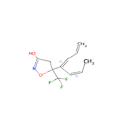 C=C/C=C(\C=C/C)C1(C(F)(F)F)CC(O)=NO1